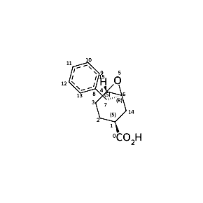 O=C(O)[C@H]1CC[C@@H]2O[C@@]2(Cc2ccccc2)C1